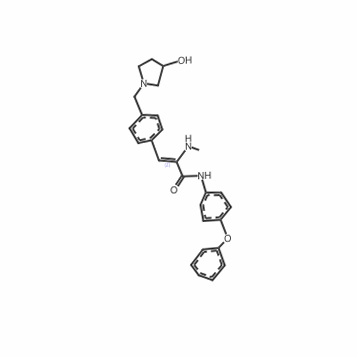 CN/C(=C\c1ccc(CN2CCC(O)C2)cc1)C(=O)Nc1ccc(Oc2ccccc2)cc1